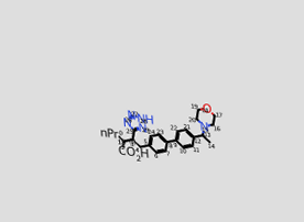 CCC[C@H](C(=O)O)[C@H](Cc1ccc(-c2ccc(C(C)N3CCOCC3)cc2)cc1)c1nn[nH]n1